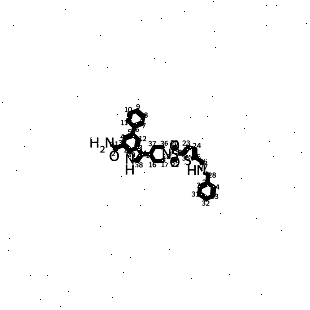 NC(=O)c1cc(-c2ccccc2)cc2c(C3CCN(S(=O)(=O)c4ccc(CNCc5ccccc5)s4)CC3)c[nH]c12